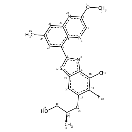 COc1cnc2c(-c3nc4c(Cl)c(F)c(O[C@@H](C)CO)cc4s3)cc(C)cc2n1